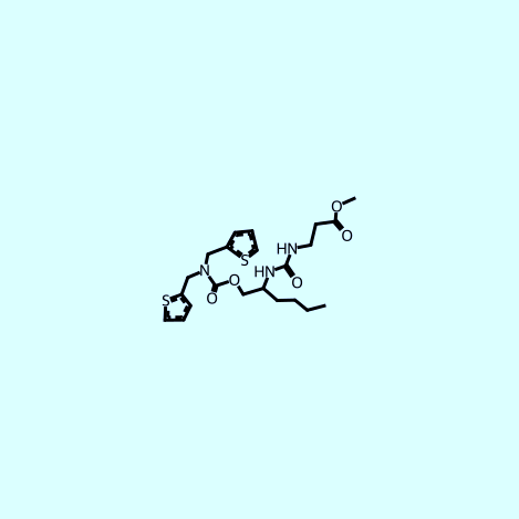 CCCCC(COC(=O)N(Cc1cccs1)Cc1cccs1)NC(=O)NCCC(=O)OC